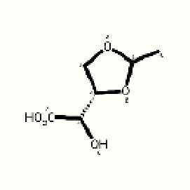 CC1OC[C@@H](C(O)C(=O)O)O1